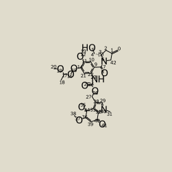 C=C1C[C@@H](CO)N(C(=O)c2cc(OC)c(OOC(C)OC)cc2NC(=O)OCc2cn(C)c3c2C(=O)C(OC)=CC3=O)C1